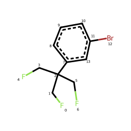 FCC(CF)(CF)c1cccc(Br)c1